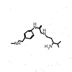 C=C(CNCCC(N)C(C)C)Nc1ccc(CCNC)cc1